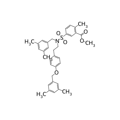 COC(=O)c1cc(S(=O)(=O)N(CCc2ccc(OCc3cc(C)cc(C)c3)cc2)Cc2cc(C)cc(C)c2)ccc1C